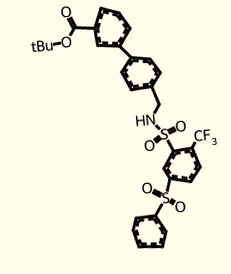 CC(C)(C)OC(=O)c1cccc(-c2ccc(CNS(=O)(=O)c3cc(S(=O)(=O)c4ccccc4)ccc3C(F)(F)F)cc2)c1